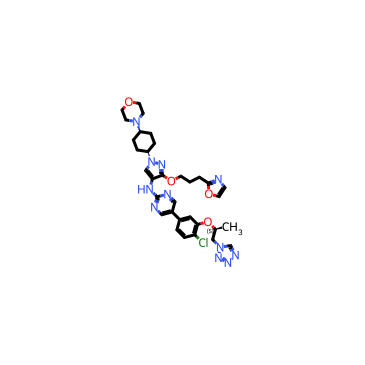 C[C@@H](Cn1cnnn1)Oc1cc(-c2cnc(Nc3cn([C@H]4CC[C@H](N5CCOCC5)CC4)nc3OCCCc3ncco3)nc2)ccc1Cl